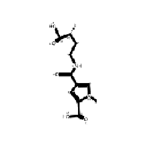 C[C@H](CCNC(=O)c1cc(C(=O)O)n(C)c1)C(=O)O